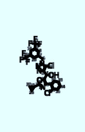 OC(c1nnn(Cc2cc(C(F)(F)F)cc(C(F)(F)F)c2)c1Cl)c1oc(C2CC2)nc1-c1ccccc1Cl